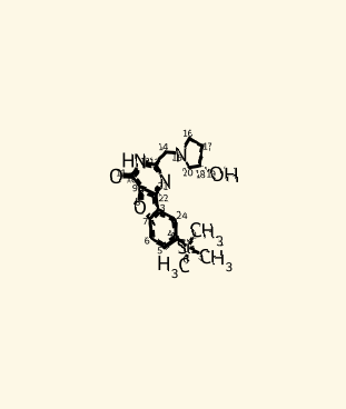 C[Si](C)(C)c1ccc2oc3c(=O)[nH]c(CN4CC[C@H](O)C4)nc3c2c1